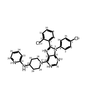 Clc1ccc(-n2c(-c3ccccc3Cl)nc3c(N4CCC(Nc5ccccn5)CC4)ncnc32)cc1